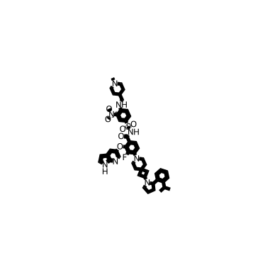 CC(C)c1ccccc1C1CCCN1C1CC2(CCN(c3ccc(C(=O)NS(=O)(=O)c4ccc(NCC5CCN(C)CC5)c([N+](=O)[O-])c4)c(Oc4cnc5[nH]ccc5c4)c3F)CC2)C1